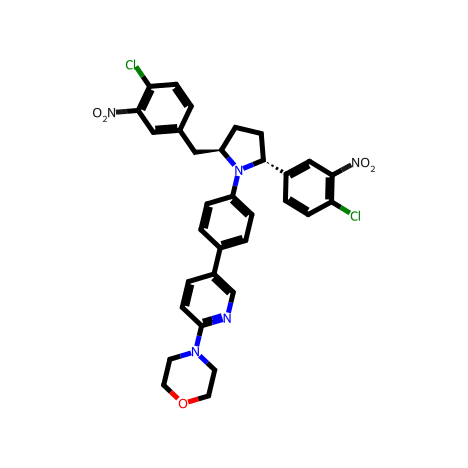 O=[N+]([O-])c1cc(C[C@H]2CC[C@H](c3ccc(Cl)c([N+](=O)[O-])c3)N2c2ccc(-c3ccc(N4CCOCC4)nc3)cc2)ccc1Cl